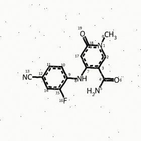 Cn1cc(C(N)=O)c(Nc2ccc(C#N)cc2F)cc1=O